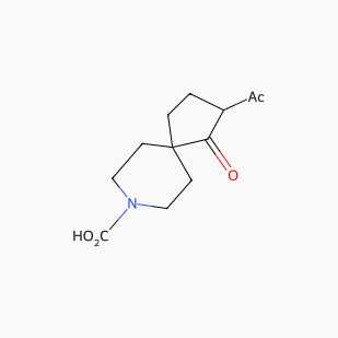 CC(=O)C1CCC2(CCN(C(=O)O)CC2)C1=O